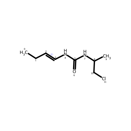 CC/C=C/NC(=O)NC(C)CCl